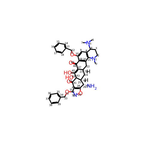 CN1CCC(N(C)C)c2cc(OCc3ccccc3)c3c(c21)C[C@H]1C[C@H]2[C@H](N)c4onc(OCc5ccccc5)c4C(=O)[C@@]2(O)C(O)=C1C3=O